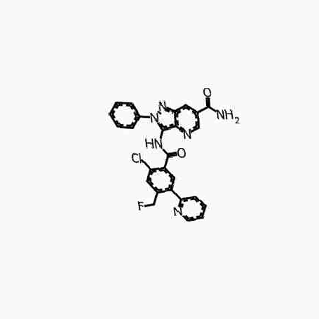 NC(=O)c1cnc2c(NC(=O)c3cc(-c4ccccn4)c(CF)cc3Cl)n(-c3ccccc3)nc2c1